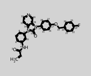 C=CC(=O)Nc1cccc(-n2c(=O)n(-c3ccc(OCc4ccc(F)cc4)cc3)c3cnccc32)c1